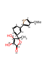 COc1csc(-c2cccc(C3(C)OC(=O)C(O)=C3O)c2)c1